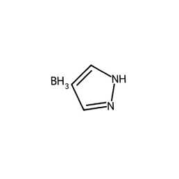 B.c1cn[nH]c1